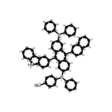 CC(C)(C)c1ccc(N(c2ccccc2)c2ccc3c(-c4ccc5ccccc5c4)c4cc(N(c5ccccc5)c5ccccc5)ccc4c(-c4ccc5[nH]c6ccccc6c5c4)c3c2)cc1